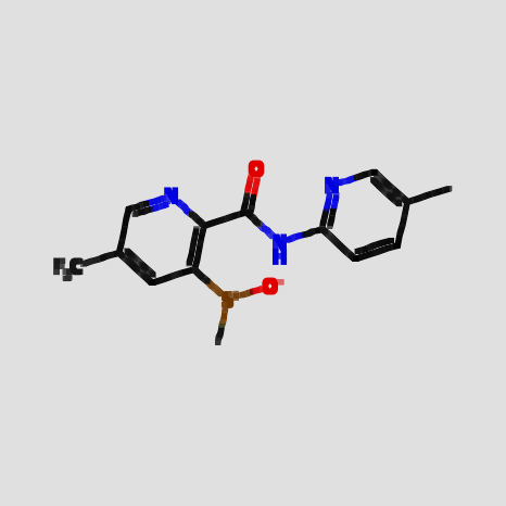 Cc1ccc(NC(=O)c2ncc(C(F)(F)F)cc2[S+](C)[O-])nc1